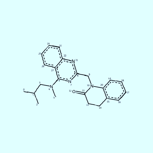 CC(C)CN(C)c1nc(CN2C(=O)CCc3ccccc32)nc2ccccc12